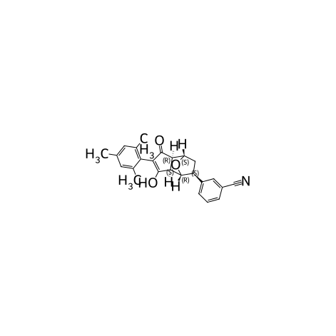 Cc1cc(C)c(C2=C(O)[C@@H]3[C@@H]4O[C@@H](C[C@H]4c4cccc(C#N)c4)[C@@H]3C2=O)c(C)c1